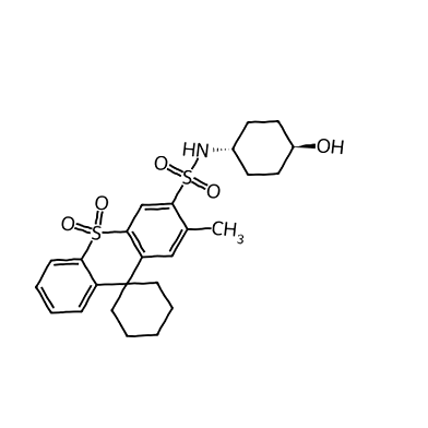 Cc1cc2c(cc1S(=O)(=O)N[C@H]1CC[C@H](O)CC1)S(=O)(=O)c1ccccc1C21CCCCC1